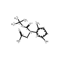 Cc1ccc(O)nc1N(CC(=O)O)C(=O)OC(C)(C)C